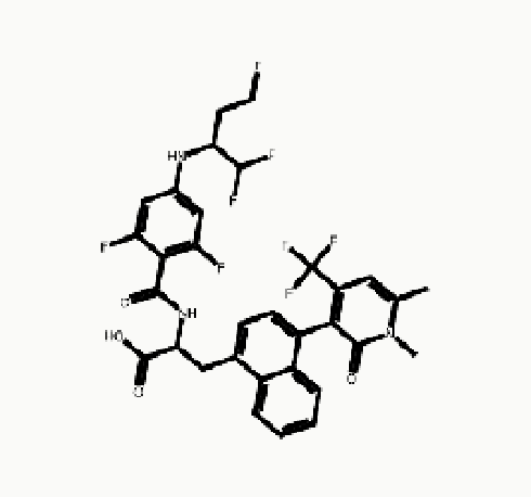 Cc1cc(C(F)(F)F)c(-c2ccc(CC(NC(=O)c3c(F)cc(NC(CCF)C(F)F)cc3F)C(=O)O)c3ccccc23)c(=O)n1C